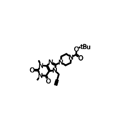 C#CCn1c(N2CCN(C(=O)OC(C)(C)C)CC2)nc2c1c(=O)n(C)c(=O)n2C